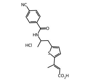 C/C(=C\C(=O)O)c1ccc(CC(C)NC(=O)c2ccc(C#N)cc2)s1.Cl